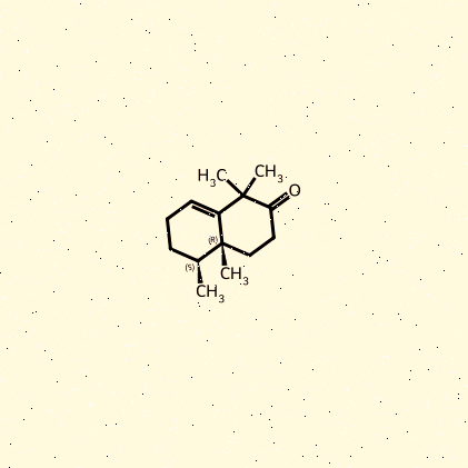 C[C@H]1CCC=C2C(C)(C)C(=O)CC[C@@]21C